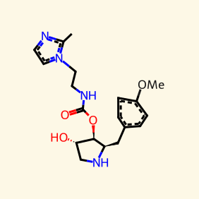 COc1ccc(C[C@H]2NC[C@H](O)[C@H]2OC(=O)NCCn2ccnc2C)cc1